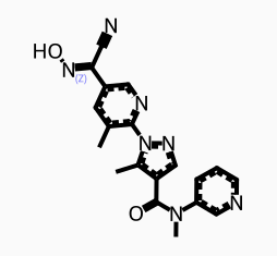 Cc1cc(/C(C#N)=N/O)cnc1-n1ncc(C(=O)N(C)c2cccnc2)c1C